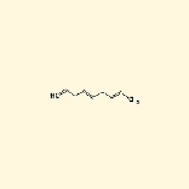 [CH]=CC/C=C/C/C=C/[CH2]